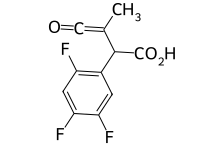 CC(=C=O)C(C(=O)O)c1cc(F)c(F)cc1F